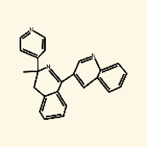 CC1(c2ccncc2)Cc2ccccc2C(c2cnc3ccccc3c2)=N1